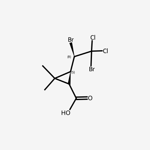 CC1(C)C(C(=O)O)[C@@H]1[C@@H](Br)C(Cl)(Cl)Br